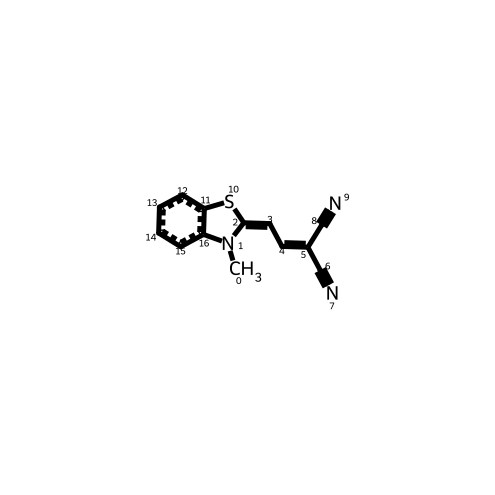 CN1C(=CC=C(C#N)C#N)Sc2ccccc21